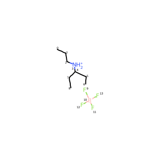 CCC[NH2+]C(CC)CC.F[B-](F)(F)F